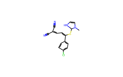 CN1C=CNC1S/C(=C/C=C(C#N)C#N)c1ccc(Cl)cc1